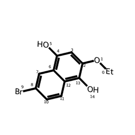 CCOc1cc(O)c2cc(Br)ccc2c1O